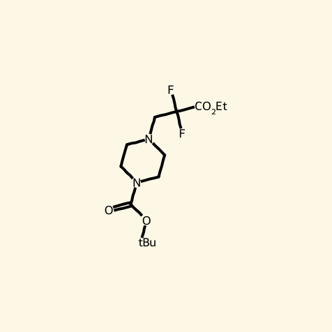 CCOC(=O)C(F)(F)CN1CCN(C(=O)OC(C)(C)C)CC1